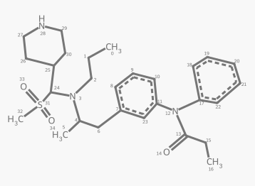 CCCN(C(C)Cc1cccc(N(C(=O)CC)c2ccccc2)c1)C(C1CCNCC1)S(C)(=O)=O